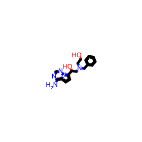 Nc1ncnn2c(C(O)CN(CCO)Cc3ccccc3)ccc12